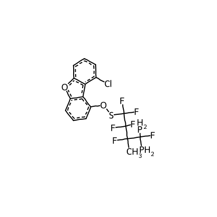 CC(F)(C(F)(P)P)C(F)(F)C(F)(F)SOc1cccc2oc3cccc(Cl)c3c12